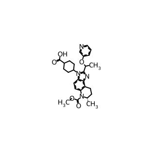 COC(=O)N1c2ccc3c(nc(C(C)Oc4cccnc4)n3C3CCC(C(=O)O)CC3)c2CC[C@@H]1C